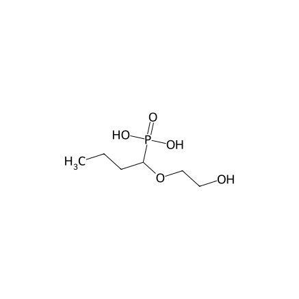 CCCC(OCCO)P(=O)(O)O